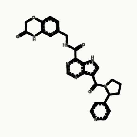 O=C1COc2ccc(CNC(=O)c3ncnc4c(C(=O)N5CCCC5c5ccncc5)c[nH]c34)cc2N1